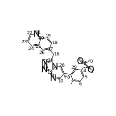 CS(=O)(=O)c1cccc(-c2cnc3nnc(Cc4ccc5ncccc5c4)n3c2)c1